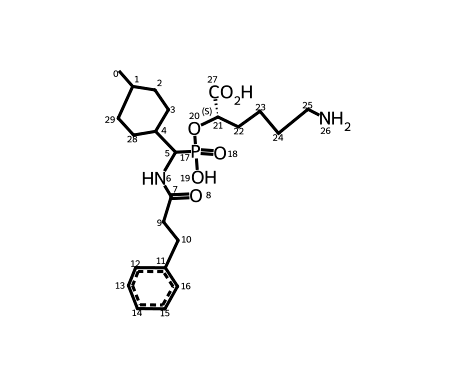 CC1CCC(C(NC(=O)CCc2ccccc2)P(=O)(O)O[C@@H](CCCCN)C(=O)O)CC1